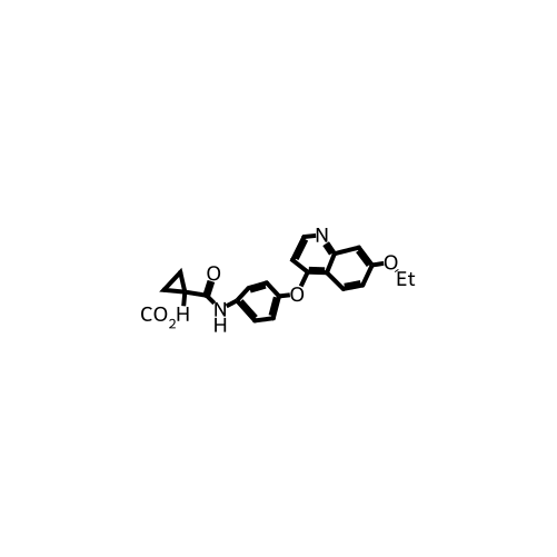 CCOc1ccc2c(Oc3ccc(NC(=O)C4(C(=O)O)CC4)cc3)ccnc2c1